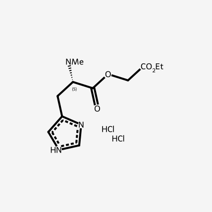 CCOC(=O)COC(=O)[C@H](Cc1c[nH]cn1)NC.Cl.Cl